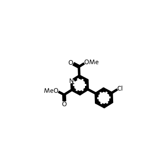 COC(=O)c1cc(-c2cccc(Cl)c2)cc(C(=O)OC)n1